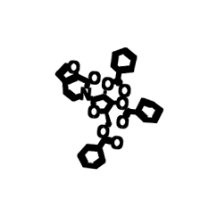 O=C(OC[C@H]1O[C@@H](n2ccc3ccoc3c2=O)[C@H](OC(=O)c2ccccc2)[C@H]1OC(=O)c1ccccc1)c1ccccc1